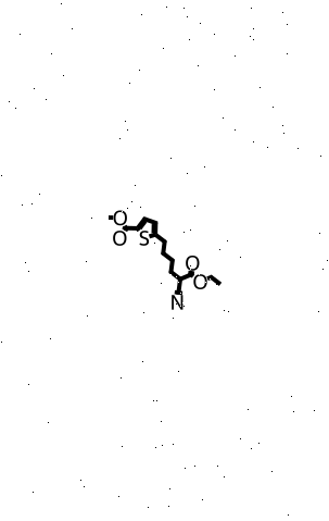 CCOC(=O)C(C#N)CCCCc1ccc(C(=O)OC)s1